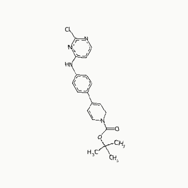 CC(C)(C)OC(=O)N1C=CC(c2ccc(Nc3ccnc(Cl)n3)cc2)=CC1